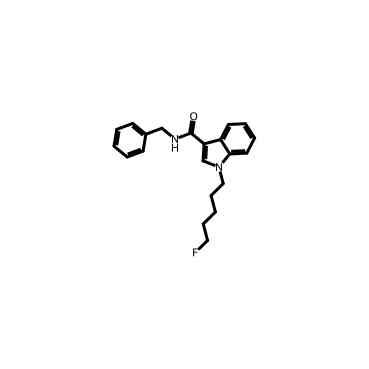 O=C(NCc1ccccc1)c1cn(CCCCCF)c2ccccc12